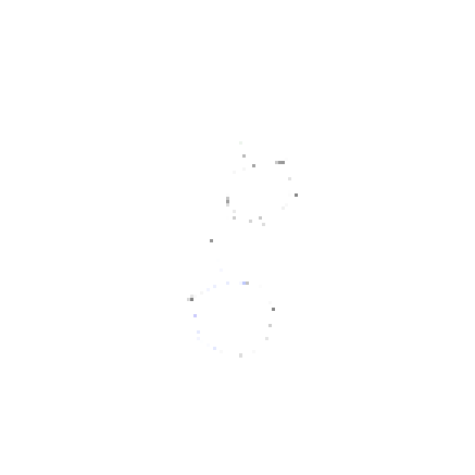 O=C1NCCCCN1Cc1ccc(Cl)c(Cl)c1